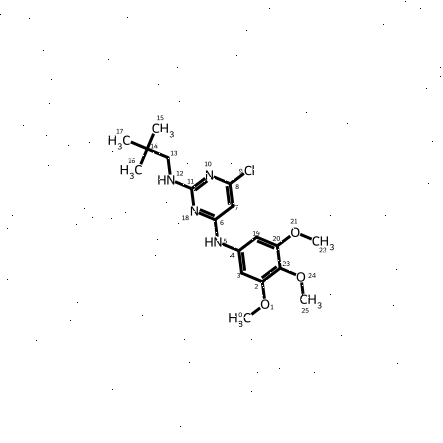 COc1cc(Nc2cc(Cl)nc(NCC(C)(C)C)n2)cc(OC)c1OC